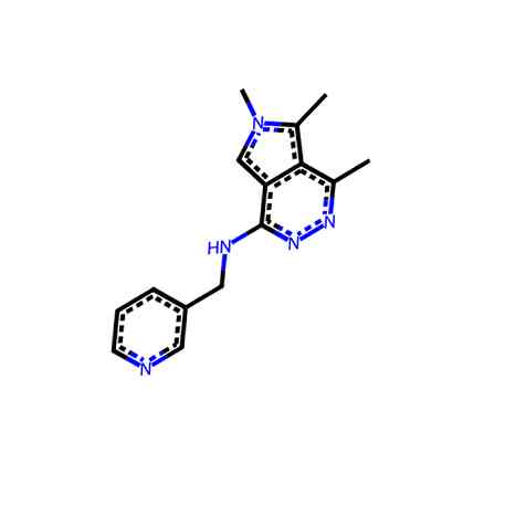 Cc1nnc(NCc2cccnc2)c2cn(C)c(C)c12